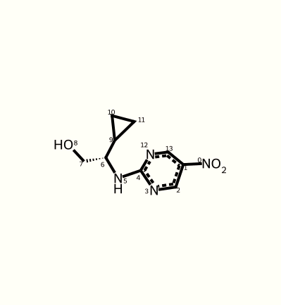 O=[N+]([O-])c1cnc(N[C@H](CO)C2CC2)nc1